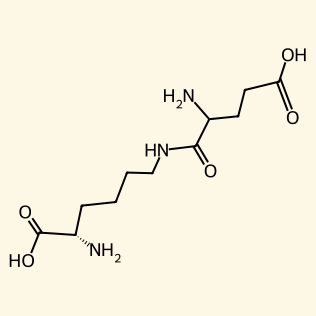 NC(CCC(=O)O)C(=O)NCCCC[C@H](N)C(=O)O